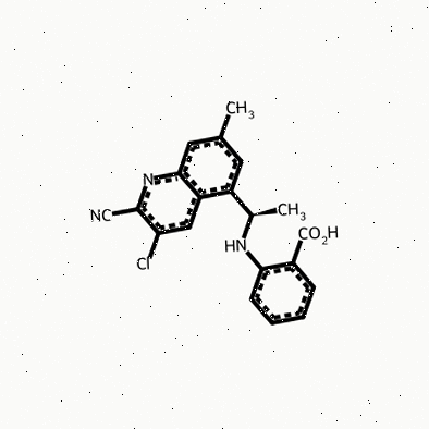 Cc1cc([C@@H](C)Nc2ccccc2C(=O)O)c2cc(Cl)c(C#N)nc2c1